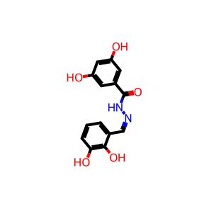 O=C(N/N=C\c1cccc(O)c1O)c1cc(O)cc(O)c1